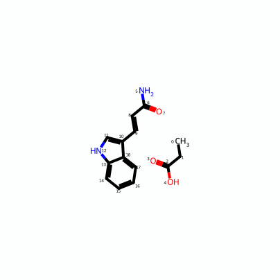 CCC(=O)O.NC(=O)C=Cc1c[nH]c2ccccc12